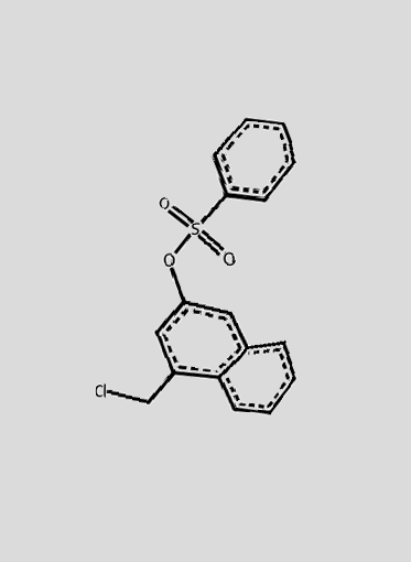 O=S(=O)(Oc1cc(CCl)c2ccccc2c1)c1ccccc1